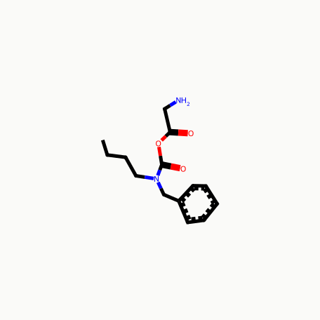 CCCCN(Cc1ccccc1)C(=O)OC(=O)CN